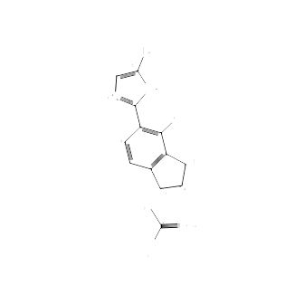 Cc1c(-c2ncc(Br)s2)ccc2c1CC[C@@H]2CC(=O)O